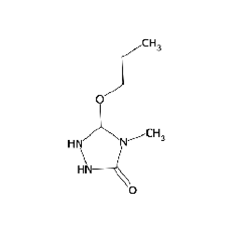 CCCOC1NNC(=O)N1C